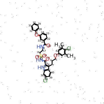 Cc1cc(OCCCc2c(C(=O)NS(=O)(=O)CCNC(=O)c3cccc(Oc4ccccc4)c3)[nH]c3cc(Cl)ccc23)cc(C)c1Cl